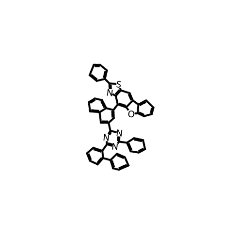 c1ccc(-c2nc(-c3cc(-c4c5nc(-c6ccccc6)sc5cc5c4oc4ccccc45)c4ccccc4c3)nc(-c3ccccc3-c3ccccc3)n2)cc1